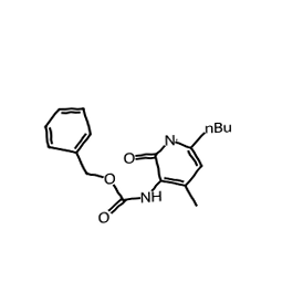 CCCCC1=CC(C)=C(NC(=O)OCc2ccccc2)C(=O)[N]1